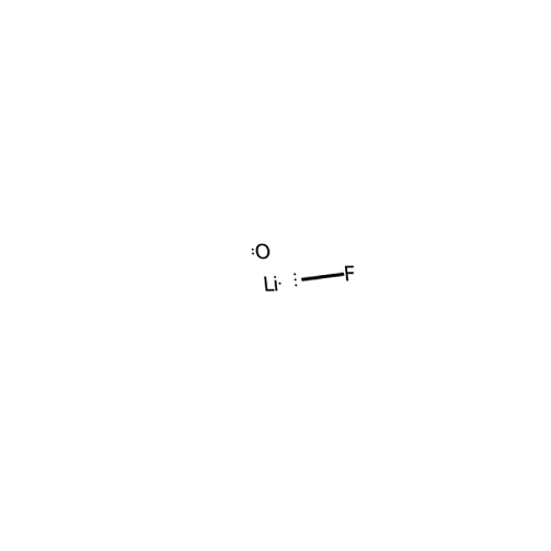 [C]F.[Li].[O]